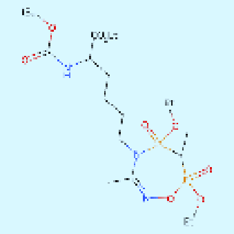 CCOC(=O)C(CCCCN1C(C)=NOP(=O)(OCC)C(C)(C)P1(=O)OCC)NC(=O)OC(C)(C)C